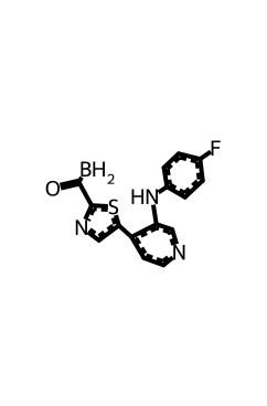 BC(=O)c1ncc(-c2ccncc2Nc2ccc(F)cc2)s1